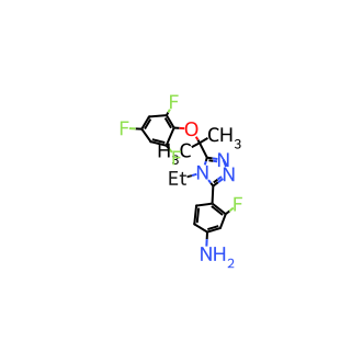 CCn1c(-c2ccc(N)cc2F)nnc1C(C)(C)Oc1c(F)cc(F)cc1F